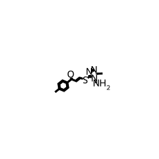 Cc1ccc(C(=O)/C=C/Sc2nnc(C)n2N)cc1